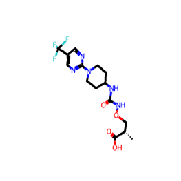 C[C@@H](CONC(=O)NC1CCN(c2ncc(C(F)(F)F)cn2)CC1)C(=O)O